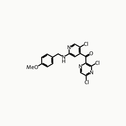 COc1ccc(CNc2cc(C(=O)c3ncc(Cl)nc3Cl)c(Cl)cn2)cc1